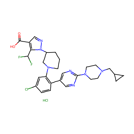 Cl.O=C(O)c1cnn(C2CCCN(c3cc(Cl)ccc3-c3cnc(N4CCN(CC5CC5)CC4)nc3)C2)c1C(F)F